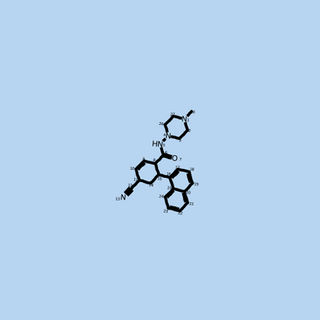 CN1CCN(NC(=O)C2C=CC(C#N)CC2c2cccc3ccccc23)CC1